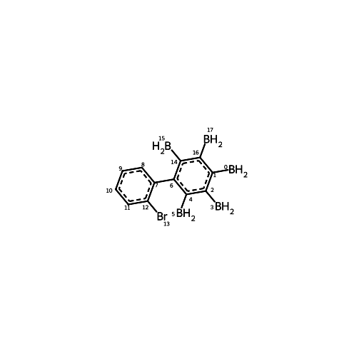 Bc1c(B)c(B)c(-c2ccccc2Br)c(B)c1B